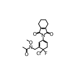 CON(CC1=CC(N2C(=O)C3=C(CCCC3)C2=O)=CCC1(F)Cl)C(C)=O